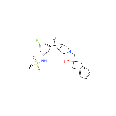 CCC1(c2cc(F)cc(NS(C)(=O)=O)c2)C2CN(CC3(O)Cc4ccccc4C3)CC21